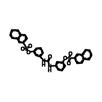 O=C(Nc1cccc(OS(=O)(=O)c2ccc3ccccc3c2)c1)Nc1cccc(OS(=O)(=O)c2ccc3ccccc3c2)c1